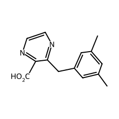 Cc1cc(C)cc(Cc2nccnc2C(=O)O)c1